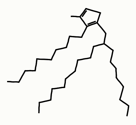 CCCCCCCCCCC1=C(CC(CCCCCCCC)CCCCCCCCCC)CC=C1C